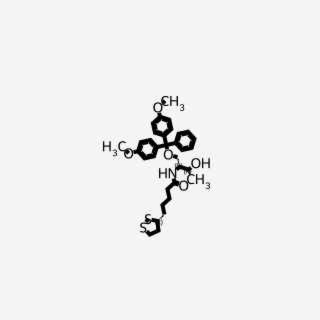 COc1ccc(C(OC[C@@H](NC(=O)CCCC[C@@H]2CCSS2)[C@@H](C)O)(c2ccccc2)c2ccc(OC)cc2)cc1